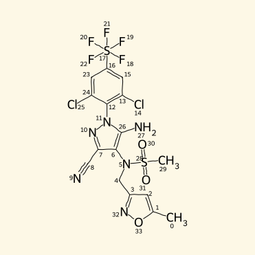 Cc1cc(CN(c2c(C#N)nn(-c3c(Cl)cc(S(F)(F)(F)(F)F)cc3Cl)c2N)S(C)(=O)=O)no1